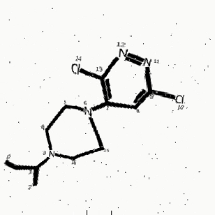 CC(C)N1CCN(c2cc(Cl)nnc2Cl)CC1